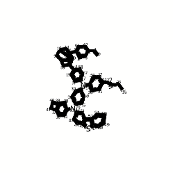 C=Cc1ccc(C23CC4CC(C2)CC(c2ccc(N(c5ccc(CCCC)cc5)c5ccc(N(c6ccc7c(c6)CC7)c6ccc7sc8ccccc8c7c6)cc5)cc2)(C4)C3)cc1